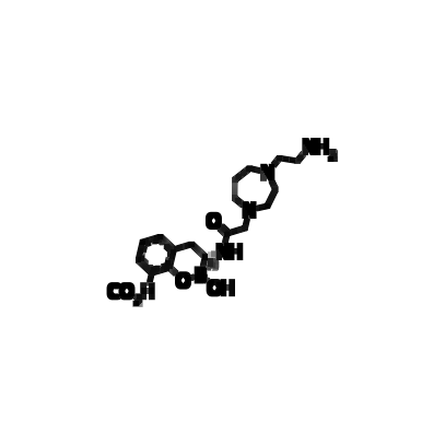 NCCN1CCCN(CC(=O)N[C@H]2Cc3cccc(C(=O)O)c3OB2O)CC1